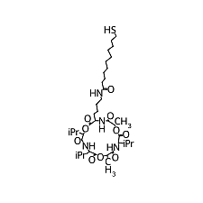 CC1OC(=O)C(C(C)C)NC(=O)C(C)OC(=O)C(C(C)C)NC(=O)C(C(C)C)OC(=O)C(CCCCNC(=O)CCCCCCCCCCS)NC1=O